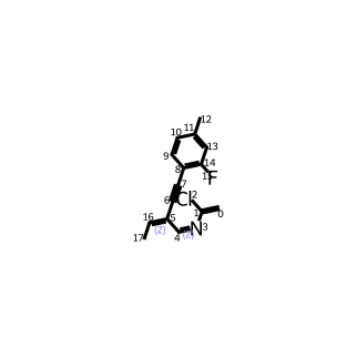 C=C(Cl)/N=C\C(C#Cc1ccc(C)cc1F)=C/C